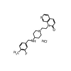 Cc1ccc(CNC2CCN(CCn3c(=O)ccc4ccncc43)CC2)cc1F.Cl